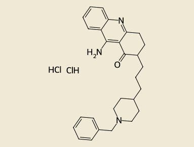 Cl.Cl.Nc1c2c(nc3ccccc13)CCC(CCCC1CCN(Cc3ccccc3)CC1)C2=O